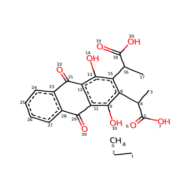 C.CC.CC(C(=O)O)c1c(O)c2c(c(O)c1C(C)C(=O)O)C(=O)c1ccccc1C2=O